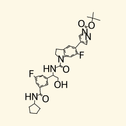 CC(C)(C)OC(=O)n1cc(-c2cc3c(cc2F)N(C(=O)NC(CO)c2cc(F)cc(C(=O)NC4CCCC4)c2)CC3)cn1